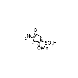 COc1cc(N)c(O)cc1S(=O)(=O)O